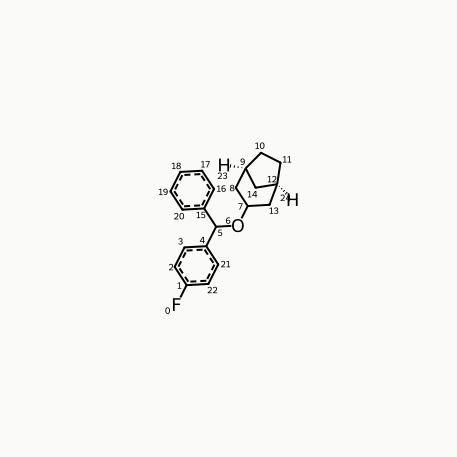 Fc1ccc(C(OC2C[C@H]3CC[C@@H](C2)C3)c2ccccc2)cc1